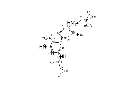 N#CC1(CSNc2ccc(-c3cc(NC(=O)C4CC4)nc4[nH]ccc34)cc2F)CC1